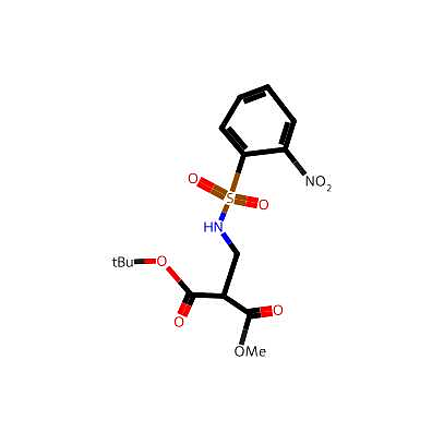 COC(=O)C(CNS(=O)(=O)c1ccccc1[N+](=O)[O-])C(=O)OC(C)(C)C